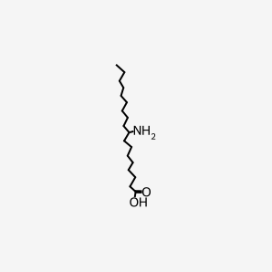 CCCCCCCCCC(N)CCCCCCCC(=O)O